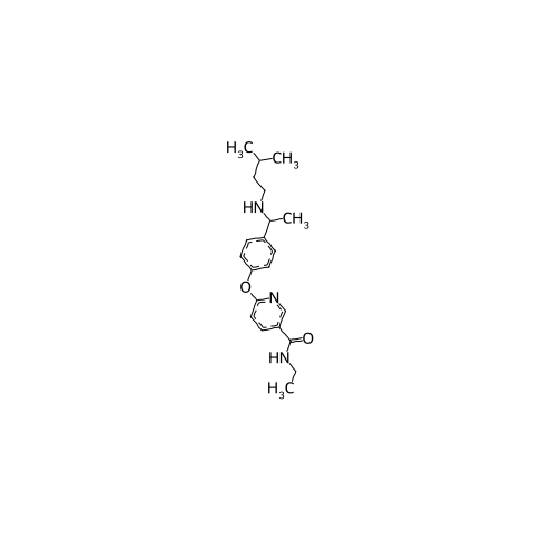 CCNC(=O)c1ccc(Oc2ccc(C(C)NCCC(C)C)cc2)nc1